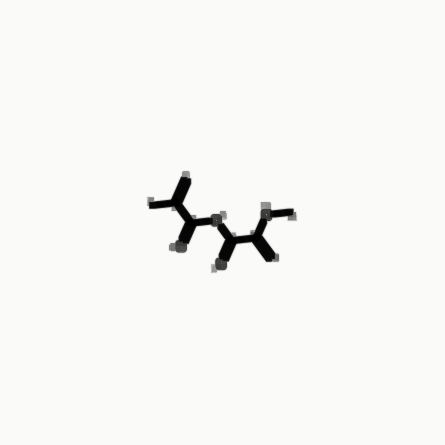 C=C(C)C(=O)OC(=O)C(=C)OC